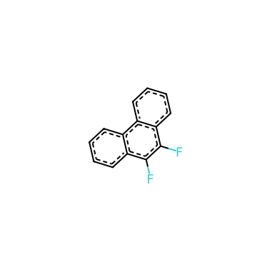 Fc1c(F)c2ccccc2c2ccccc12